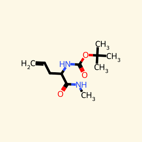 C=CCC(NC(=O)OC(C)(C)C)C(=O)NC